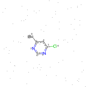 CCC(C)c1cc(Cl)ncn1